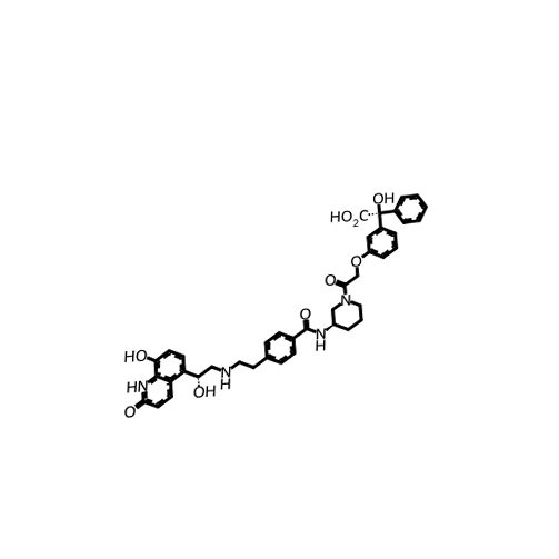 O=C(N[C@@H]1CCCN(C(=O)COc2cccc([C@](O)(C(=O)O)c3ccccc3)c2)C1)c1ccc(CCNC[C@H](O)c2ccc(O)c3[nH]c(=O)ccc23)cc1